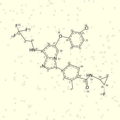 Cc1cc(-c2cnc3c(NCCC(F)(F)F)cc(Oc4cccc(Cl)c4)cn23)ccc1C(=O)NC1C[C@@H]1F